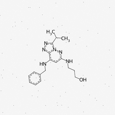 CC(C)c1nnc2c(NCc3ccccc3)cc(NCCCO)nn12